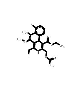 CCOC(=O)C1=C(COC(C)=O)NC(CF)=C(C(=O)OC)C1c1cccc(F)c1C(C)F